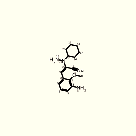 COc1c(N)cccc1/C=C(\C#N)N(N)C1CCCCC1